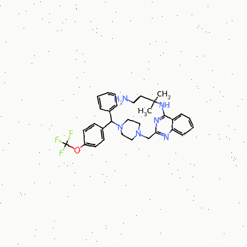 CC(C)(CCN)Nc1nc(CN2CCN(C(c3ccccc3)c3ccc(OC(F)(F)F)cc3)CC2)nc2ccccc12